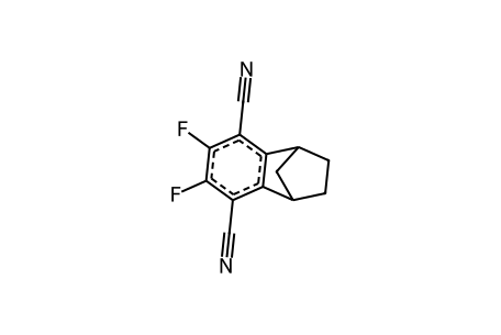 N#Cc1c(F)c(F)c(C#N)c2c1C1CCC2C1